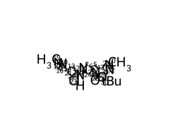 Cn1cc(-c2cc3cnc(Nc4ccc(-c5ccn(C)n5)cc4Cl)cc3n2C(=O)OC(C)(C)C)cn1